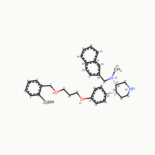 COc1ccccc1COCCCOc1ccc([C@H]2CCNC[C@H]2N(C)Cc2ccc3ccccc3c2)cc1